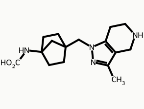 Cc1nn(CC23CCC(NC(=O)O)(CC2)C3)c2c1CNCC2